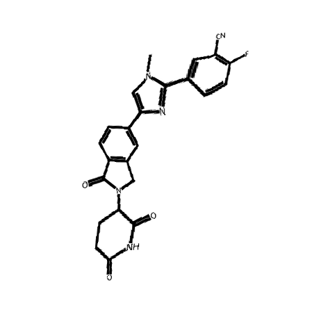 Cn1cc(-c2ccc3c(c2)CN(C2CCC(=O)NC2=O)C3=O)nc1-c1ccc(F)c(C#N)c1